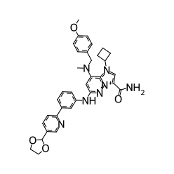 COc1ccc(CN(C)c2cc(Nc3cccc(-c4ccc(C5OCCO5)cn4)c3)n[n+]3c(C(N)=O)cn(C4CCC4)c23)cc1